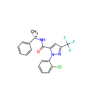 C[C@H](NC(=O)c1cc(C(F)(F)F)nn1-c1ccccc1Cl)c1ccccc1